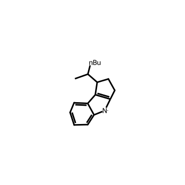 CCCCC(C)C1CCC2=C1c1ccccc1[N]2